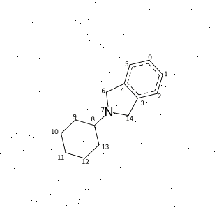 c1ccc2c(c1)CN(C1CCCCC1)C2